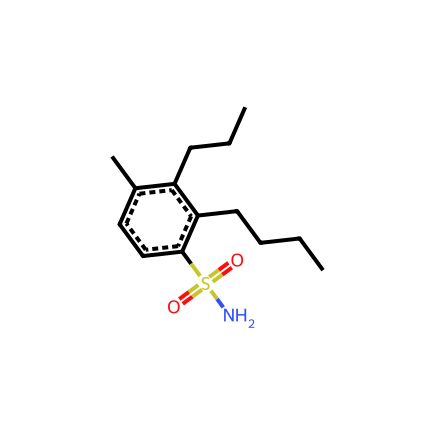 CCCCc1c(S(N)(=O)=O)ccc(C)c1CCC